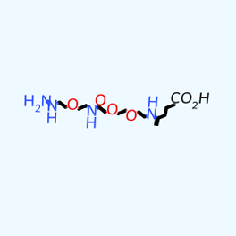 C=C(CCCC(=O)O)NCCOCCOCC(=O)NCCOCCNN